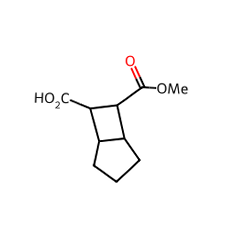 COC(=O)C1C2CCCC2C1C(=O)O